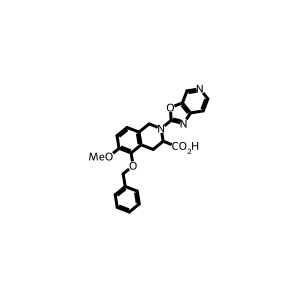 COc1ccc2c(c1OCc1ccccc1)CC(C(=O)O)N(c1nc3ccncc3o1)C2